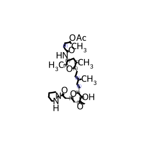 CC(=O)OC(C)/C=C\C(=O)N[C@@H]1C[C@H](C)[C@H](C/C=C(C)/C=C/[C@H]2O[C@H](CC(=O)N3CCCCN3)C[C@@]3(CO3)[C@@H]2O)O[C@@H]1C